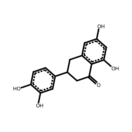 O=C1CC(c2ccc(O)c(O)c2)Cc2cc(O)cc(O)c21